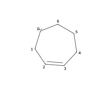 [C]1CC=CCCC1